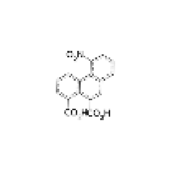 O=C(O)c1cccc2c1c(C(=O)O)cc1cccc([N+](=O)[O-])c12